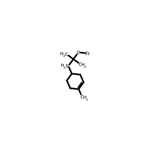 CCOC(C)(C)[SiH2]C1CC=C(C)CC1